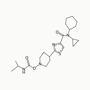 CC(C)NC(=O)ON1CCC(c2nc(C(=O)N(C3CCCCC3)C3CC3)cs2)CC1